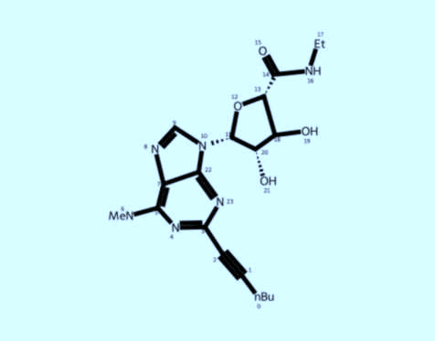 CCCCC#Cc1nc(NC)c2ncn([C@@H]3O[C@H](C(=O)NCC)C(O)[C@@H]3O)c2n1